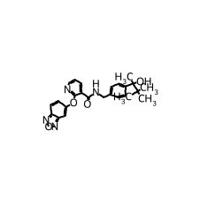 CC(C)(C)C(C)(O)c1ccc(CNC(=O)c2cccnc2Oc2ccc3nonc3c2)cc1